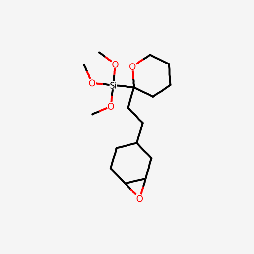 CO[Si](OC)(OC)C1(CCC2CCC3OC3C2)CCCCO1